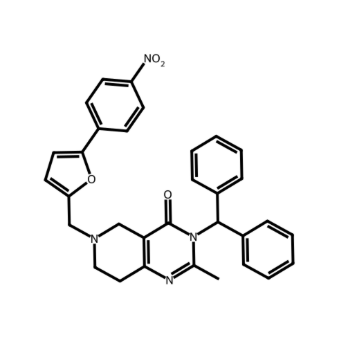 Cc1nc2c(c(=O)n1C(c1ccccc1)c1ccccc1)CN(Cc1ccc(-c3ccc([N+](=O)[O-])cc3)o1)CC2